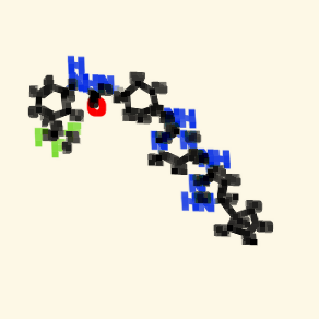 O=C(Nc1cccc(C(F)(F)F)c1)N[C@H]1CC[C@@H](Nc2nccc(Nc3cc(C4CCCC4)[nH]n3)n2)CC1